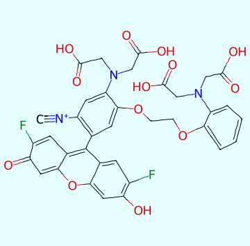 [C-]#[N+]c1cc(N(CC(=O)O)CC(=O)O)c(OCCOc2ccccc2N(CC(=O)O)CC(=O)O)cc1-c1c2cc(F)c(=O)cc-2oc2cc(O)c(F)cc12